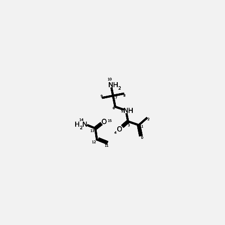 C=C(C)C(=O)NCC(C)(C)N.C=CC(N)=O